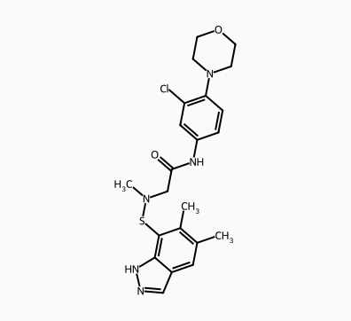 Cc1cc2cn[nH]c2c(SN(C)CC(=O)Nc2ccc(N3CCOCC3)c(Cl)c2)c1C